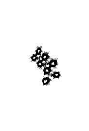 c1ccc(N(c2ccccc2)c2ccc3c(c2)-c2ccccc2N2B3c3cccc4c3-c3c(cccc32)B2c3ccccc3-c3ccccc3N24)cc1